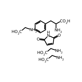 NC(Cc1ccccc1)C(=O)O.NCC(=O)O.NCC(=O)O.NCC(=O)O.O=C1C=CC(=O)N1